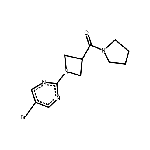 O=C(C1CN(c2ncc(Br)cn2)C1)N1CCCC1